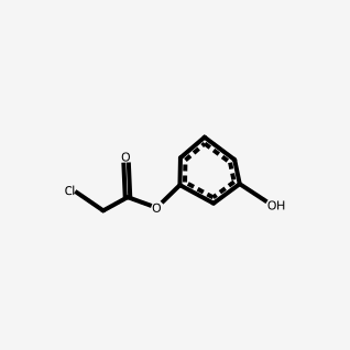 O=C(CCl)Oc1cccc(O)c1